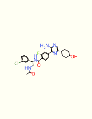 CC(=O)NC[C@@H](NC(=O)c1ccc(-c2nc([C@H]3CC[C@H](O)CC3)cnc2N)cc1F)c1cccc(Cl)c1